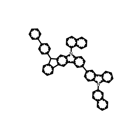 c1ccc(-c2ccc(C3c4ccccc4-c4cc5c6cc(-c7ccc8c(c7)c7ccccc7n8-c7ccc8ccccc8c7)ccc6n(-c6cccc7ccccc67)c5cc43)cc2)cc1